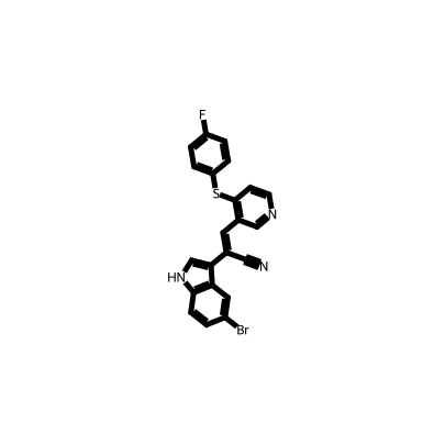 N#CC(=Cc1cnccc1Sc1ccc(F)cc1)c1c[nH]c2ccc(Br)cc12